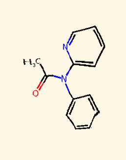 CC(=O)N(c1cc[c]cc1)c1ccccn1